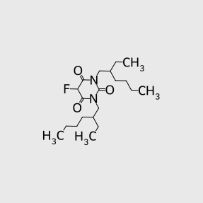 CCCCC(CC)CN1C(=O)C(F)C(=O)N(CC(CC)CCCC)C1=O